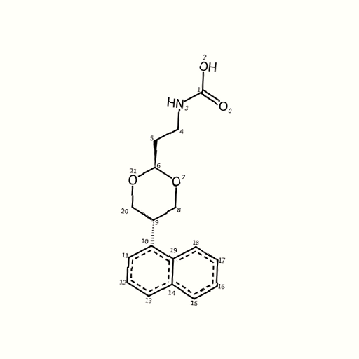 O=C(O)NCC[C@H]1OC[C@H](c2cccc3ccccc32)CO1